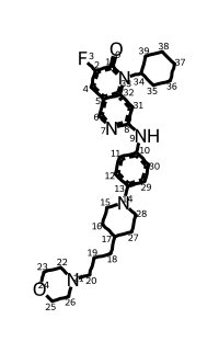 O=c1c(F)cc2cnc(Nc3ccc(N4CCC(CCCN5CCOCC5)CC4)cc3)cc2n1C1CCCCC1